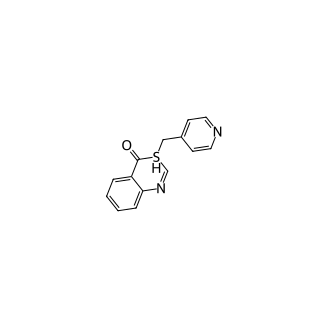 O=C1c2ccccc2N=C[SH]1Cc1ccncc1